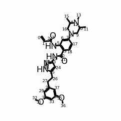 C=CC(=O)Nc1cc(N2CC(C)N(C)C(C)C2)ccc1C(=O)Nc1cc(CCc2cc(OC)cc(OC)c2)[nH]n1